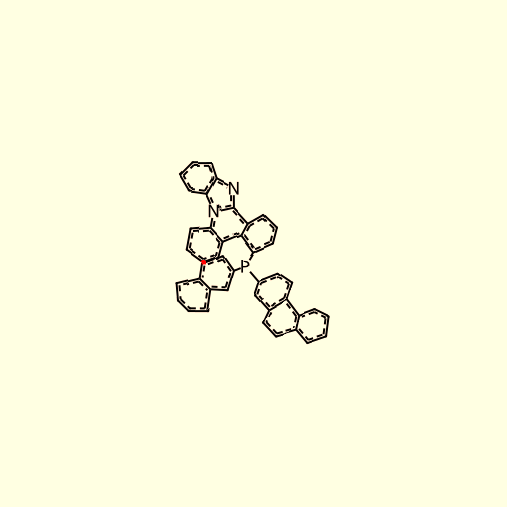 c1ccc2cc(P(c3ccc4c(ccc5ccccc54)c3)c3cccc4c3c3ccccc3n3c5ccccc5nc43)ccc2c1